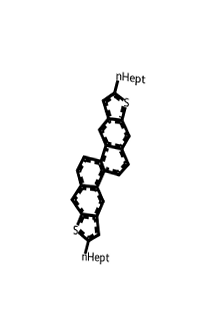 CCCCCCCc1cc2cc3c(ccc4c5cc6cc(CCCCCCC)sc6cc5ccc34)cc2s1